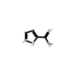 [NH]C(=O)c1ccno1